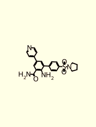 NC(=O)c1cc(-c2ccncc2)cc(-c2ccc(S(=O)(=O)N3CCCC3)cc2)c1N